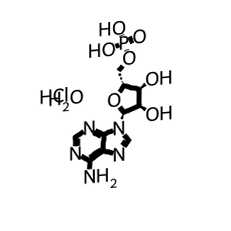 Cl.Nc1ncnc2c1ncn2[C@@H]1O[C@H](COP(=O)(O)O)[C@@H](O)[C@H]1O.O